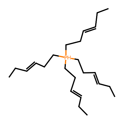 CCC=CCC[PH](CCC=CCC)(CCC=CCC)CCC=CCC